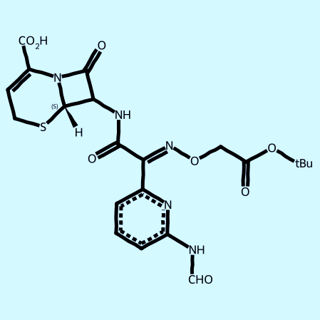 CC(C)(C)OC(=O)CON=C(C(=O)NC1C(=O)N2C(C(=O)O)=CCS[C@@H]12)c1cccc(NC=O)n1